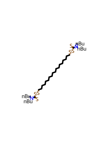 CCCCN(CCCC)C(=S)SSCCCCCCCCCCCCCCCCCCSSC(=S)N(CCCC)CCCC